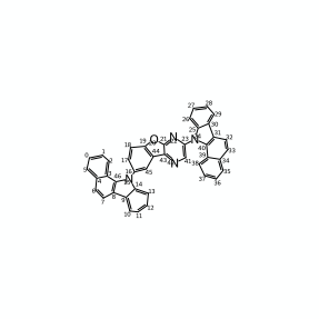 c1ccc2c(c1)ccc1c3ccccc3n(-c3ccc4oc5nc(-n6c7ccccc7c7ccc8ccccc8c76)cnc5c4c3)c21